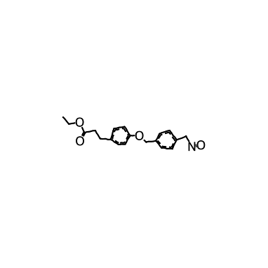 CCOC(=O)CCc1ccc(OCc2ccc(CN=O)cc2)cc1